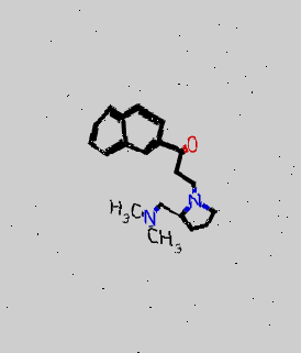 CN(C)C[C@@H]1CCCN1CCC(=O)c1ccc2ccccc2c1